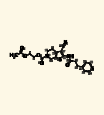 CC(=O)OCCOC(=O)N1CCc2c(sc(NC(=O)CCc3ccncc3)c2C#N)C1